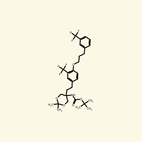 CC(C)(C)OC(=O)NC1(CCc2ccc(OCCCc3cccc(C(F)(F)F)c3)c(C(F)(F)F)c2)COC(C)(C)OC1